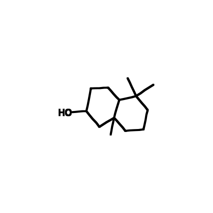 CC1(C)CCCC2(C)CC(O)CCC12